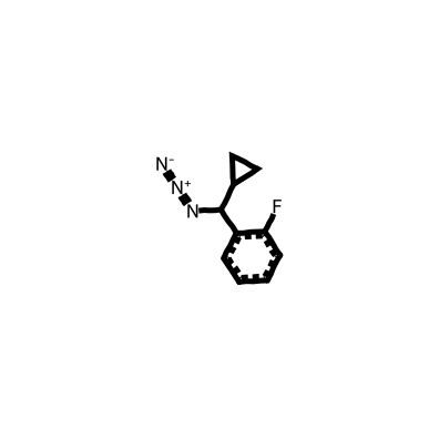 [N-]=[N+]=NC(c1ccccc1F)C1CC1